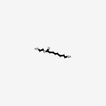 O=C(CCCCCCCS)OCCS